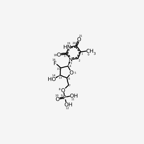 Cc1cn([C@H]2OC(COP(=O)(O)O)[C@@H](O)C2F)c(=O)[nH]c1=O